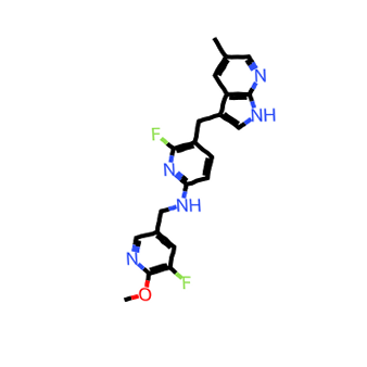 COc1ncc(CNc2ccc(Cc3c[nH]c4ncc(C)cc34)c(F)n2)cc1F